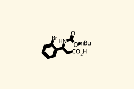 CCCCOC(=O)NC(CC(=O)O)c1ccccc1Br